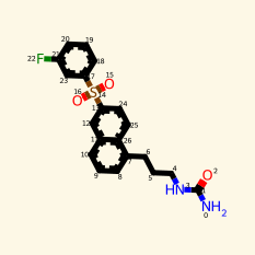 NC(=O)NCCCc1cccc2cc(S(=O)(=O)c3cccc(F)c3)ccc12